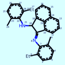 CCc1cccc(C)c1/N=C1\c2cccc3cccc(c23)C1Nc1c(C)cccc1CC